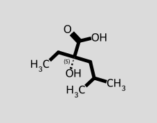 CC[C@](O)(CC(C)C)C(=O)O